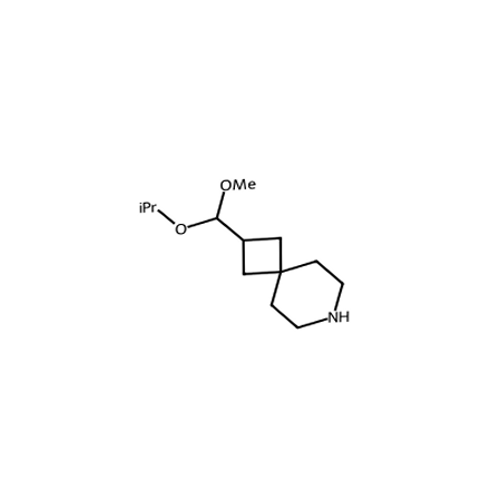 COC(OC(C)C)C1CC2(CCNCC2)C1